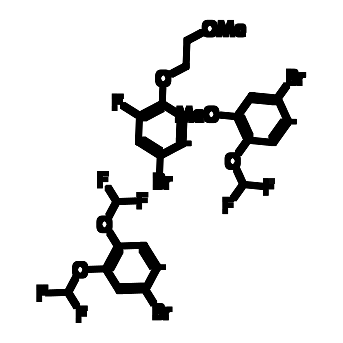 COCCOc1c[c]c(Br)cc1F.COc1cc(Br)[c]cc1OC(F)F.FC(F)Oc1c[c]c(Br)cc1OC(F)F